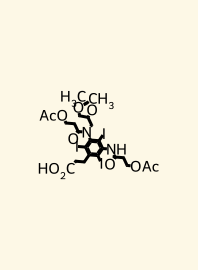 CC(=O)OCCC(=O)Nc1c(I)c(CCC(=O)O)c(I)c(N(CC2COC(C)(C)O2)C(=O)CCOC(C)=O)c1I